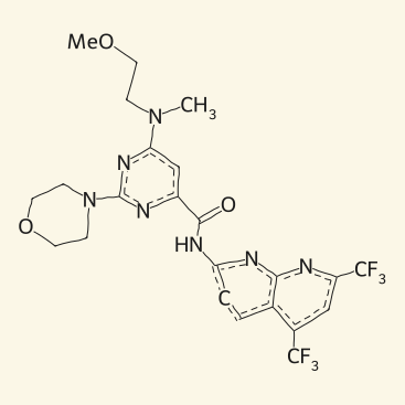 COCCN(C)c1cc(C(=O)Nc2ccc3c(C(F)(F)F)cc(C(F)(F)F)nc3n2)nc(N2CCOCC2)n1